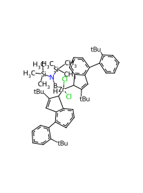 CC(C)(C)C1=Cc2c(-c3ccccc3C(C)(C)C)cccc2[CH]1[Zr]([Cl])([Cl])([BH]N([Si](C)(C)C)[Si](C)(C)C)[CH]1C(C(C)(C)C)=Cc2c(-c3ccccc3C(C)(C)C)cccc21